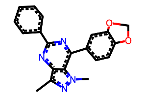 Cc1nn(C)c2c(-c3ccc4c(c3)OCO4)nc(-c3ccccc3)nc12